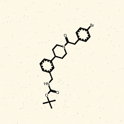 CC(C)(C)OC(=O)NCc1cccc(C2CCN(C(=O)Cc3ccc(Br)cc3)CC2)c1